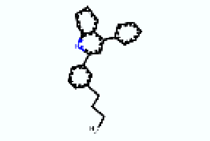 CCCCc1cccc(-c2cc(-c3ccccc3)c3ccccc3n2)c1